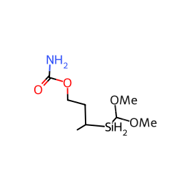 COC(OC)[SiH2]C(C)CCOC(N)=O